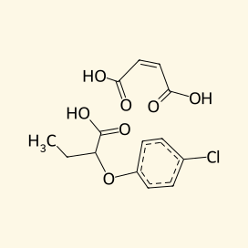 CCC(Oc1ccc(Cl)cc1)C(=O)O.O=C(O)/C=C\C(=O)O